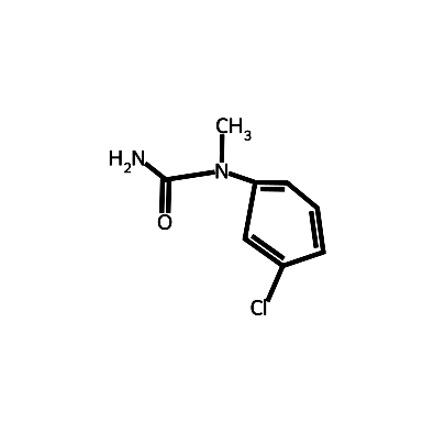 CN(C(N)=O)c1cccc(Cl)c1